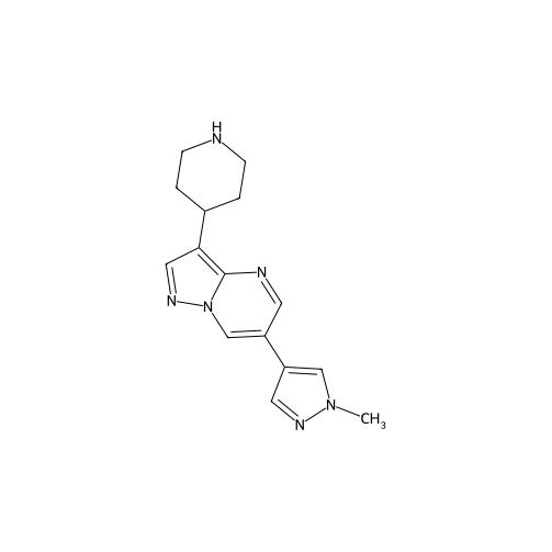 Cn1cc(-c2cnc3c(C4CCNCC4)cnn3c2)cn1